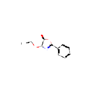 CCOC1N=C(c2ccccc2)OC1=O